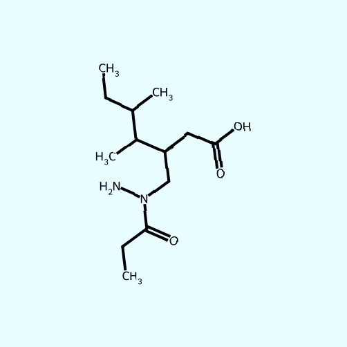 CCC(=O)N(N)CC(CC(=O)O)C(C)C(C)CC